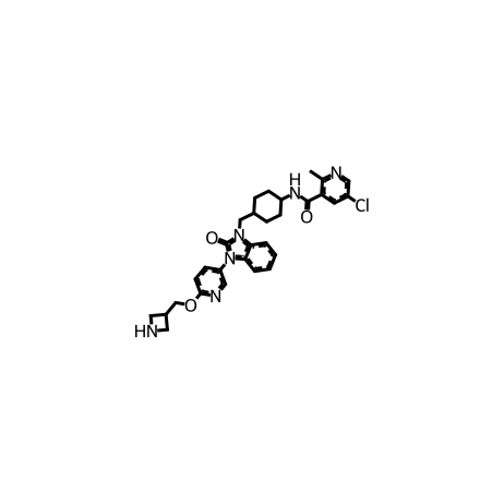 Cc1ncc(Cl)cc1C(=O)NC1CCC(Cn2c(=O)n(-c3ccc(OCC4CNC4)nc3)c3ccccc32)CC1